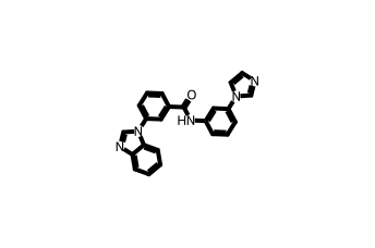 O=C(Nc1cccc(-n2ccnc2)c1)c1cccc(-n2cnc3ccccc32)c1